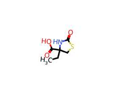 CCC1(C(=O)O)CSC(=O)N1